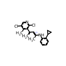 C=C(/C=C(\C)Nc1ccccc1C1CC1)c1c(Cl)ncc(Cl)c1C